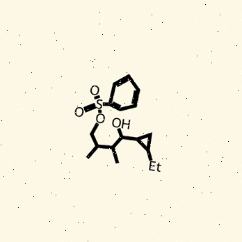 CCC1CC1C(O)C(C)C(C)COS(=O)(=O)c1ccccc1